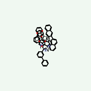 CC1C/C=C(c2ccc3oc4ccccc4c3c2-n2c3cc4ccccc4cc3c3ccc4ccccc4c32)/N=C(c2cccc(-c3ccccc3)c2)\N=C/1c1cccc2c1oc1ccccc12